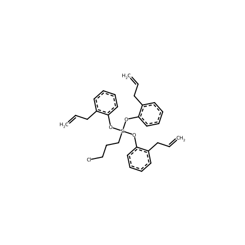 C=CCc1ccccc1O[Si](CCCCl)(Oc1ccccc1CC=C)Oc1ccccc1CC=C